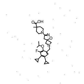 CC(C)Oc1c(CN2CC3(CC(N4CCC(C)(C(=O)O)CC4)=NO3)C2)cc(C2CC2)c(C2CC2)c1F